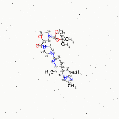 CCc1nc(N2CCN(C(=O)C3CN(C(=O)OC(C)(C)C)CCO3)CC2)ccc1-c1cc(C)c2nc(C)cn2c1